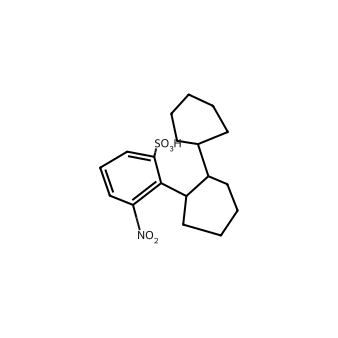 O=[N+]([O-])c1cccc(S(=O)(=O)O)c1C1CCCCC1C1CCCCC1